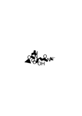 CC(C)C[C@H](OC1CC1)C(=O)N[C@@H](CCC(=O)C=[N+]=[N-])C(=O)O